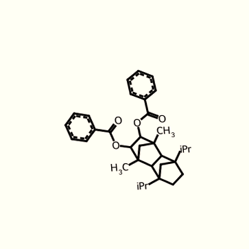 CC(C)C12CCC(C(C)C)(C1)C1C2C2(C)CC1(C)C(OC(=O)c1ccccc1)C2OC(=O)c1ccccc1